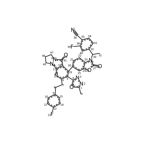 Cc1nnc(-c2c(CCc3ccc(F)cc3)nc3c(c2-c2ccc4c(c2)oc(=O)n4C(C)c2ccc(C#N)c(F)c2)c(=O)n2n3CCC2)o1